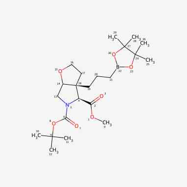 COC(=O)[C@H]1N(C(=O)OC(C)(C)C)CC2OCC[C@@]21CCCB1OC(C)(C)C(C)(C)O1